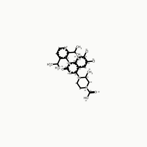 CC(C)c1ccnc(C(C)C)c1-n1c(=O)nc(N2CCN(C(=O)O)CC2C)c2cc(Cl)c(Cl)nc21